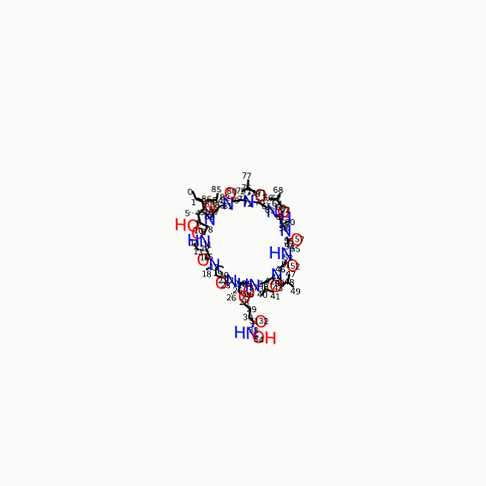 C/C=C/C[C@@H](C)[C@@H](O)[C@@H]1C(=O)N[C@@H](CC)C(=O)N(C)CC(=O)N(C)[C@@H]([C@@H](C)OCCCC(=O)NO)C(=O)N[C@@H](C(C)C)C(=O)N(C)[C@@H](CC(C)C)C(=O)N[C@@H](C)C(=O)N[C@H](C)C(=O)N(C)[C@@H](CC(C)C)C(=O)N(C)[C@@H](CC(C)C)C(=O)N(C)[C@@H](C(C)C)C(=O)N1C